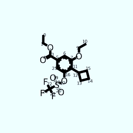 CCOC(=O)c1cc(OCC)c(C2CCC2)c(OS(=O)(=O)C(F)(F)F)c1